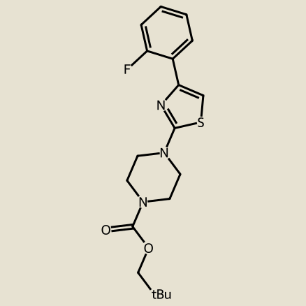 CC(C)(C)COC(=O)N1CCN(c2nc(-c3ccccc3F)cs2)CC1